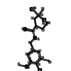 COc1cc(COC(=O)C(CI)CC(C)(Cl)Cl)cc(C)c1Cl